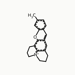 Cc1ccc2c(c1)Oc1c3c4c(cc1=C2)CCC[N+]=4CCC3